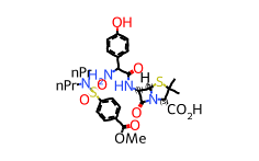 CC1(C)S[C@@H]2[C@H](NC(=O)C(N)c3ccc(O)cc3)C(=O)N2[C@H]1C(=O)O.CCCN(CCC)S(=O)(=O)c1ccc(C(=O)OC)cc1